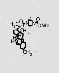 COC(=O)N1CCN(C(=O)O[C@@H](C)[C@H]2CC[C@H]3[C@@H]4CC=C5C[C@@H](C)CC[C@]5(C)[C@H]4CC[C@]23C)CC1